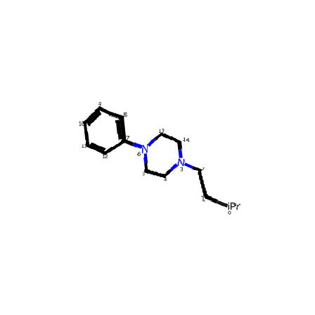 CC(C)CCN1CCN(c2ccccc2)CC1